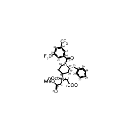 CCCCCCCC[N+](CC(=O)[O-])(CC(=O)OC)[C@H]1CCN(C(=O)c2cc(C(F)(F)F)cc(C(F)(F)F)c2)[C@H](Cc2ccccc2)C1